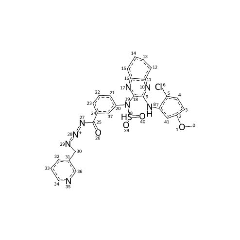 COc1ccc(Cl)c(Nc2nc3ccccc3nc2N(c2cccc(C(=O)N=[N+]=NCc3cccnc3)c2)[SH](=O)=O)c1